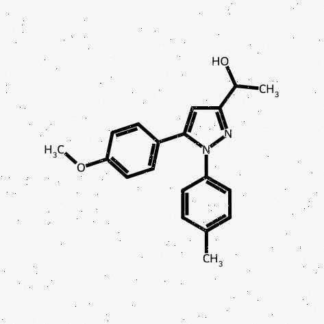 COc1ccc(-c2cc(C(C)O)nn2-c2ccc(C)cc2)cc1